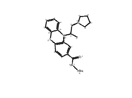 CCCCNC(=O)c1ccc2c(c1)N(C(C)CN1CCCC1)c1ccccc1S2